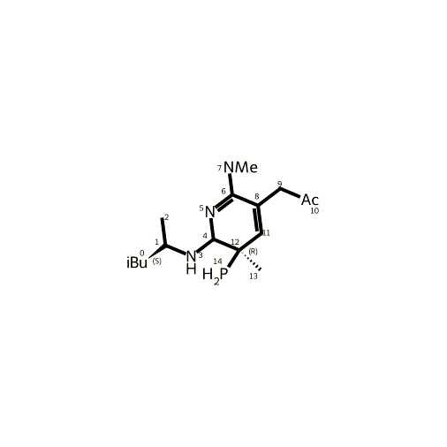 CC[C@H](C)C(C)NC1N=C(NC)C(CC(C)=O)=C[C@@]1(C)P